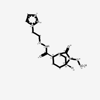 O=C(NOCCn1ccnn1)[C@@H]1CC[C@@H]2CN1C(=O)N2OS(=O)(=O)O